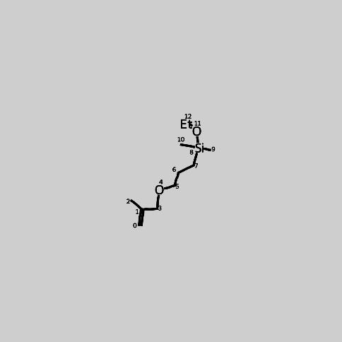 C=C(C)COCCC[Si](C)(C)OCC